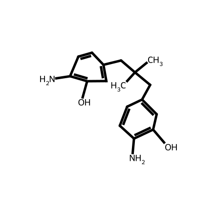 CC(C)(Cc1ccc(N)c(O)c1)Cc1ccc(N)c(O)c1